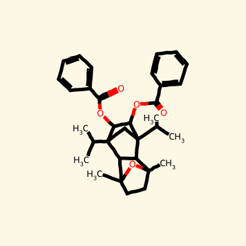 CC(C)C12CC(C(C)C)(C(OC(=O)c3ccccc3)C1OC(=O)c1ccccc1)C1C2C2(C)CCC1(C)O2